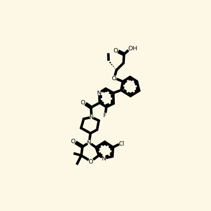 CC[C@H](CC(=O)O)Oc1ccccc1-c1cnc(C(=O)N2CCC(N3C(=O)C(C)(C)Oc4ncc(Cl)cc43)CC2)c(F)c1